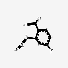 CCC(=O)c1ccc(Br)cc1N=[N+]=[N-]